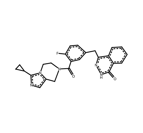 O=C(c1cc(Cc2n[nH]c(=O)c3ccccc23)ccc1F)N1CCn2c(cnc2C2CC2)C1